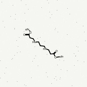 CCCOC(=O)CCNCCCNCCC(=O)OCCC